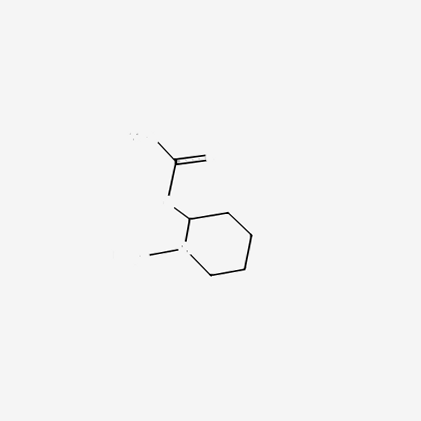 CSC(=S)OC1CCCCN1C(=O)O